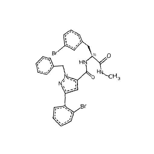 CNC(=O)[C@H](Cc1cccc(Br)c1)NC(=O)c1cc(-c2ccccc2Br)nn1Cc1ccccc1